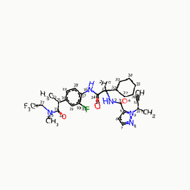 [2H]C(NC(=O)c1ccnn1C(C)C#C)(C(=O)Nc1ccc(C(C)C(=O)N(C)CC(F)(F)F)cc1F)C1CCCCC1